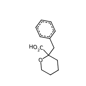 O=C(O)C1(Cc2ccccc2)CCCCO1